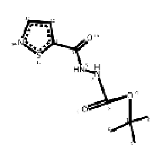 CC(C)(C)OC(=O)NNC(=O)c1ccns1